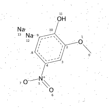 COc1cc([N+](=O)[O-])ccc1O.[Na].[Na]